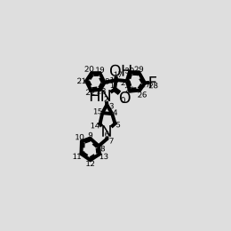 O=C(NC1C2CN(Cc3ccccc3)CC21)C(O)(c1ccccc1)c1ccc(F)cc1